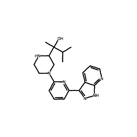 CC(C)C(C)(O)C1CN(c2cccc(-c3n[nH]c4ncccc34)n2)CCN1